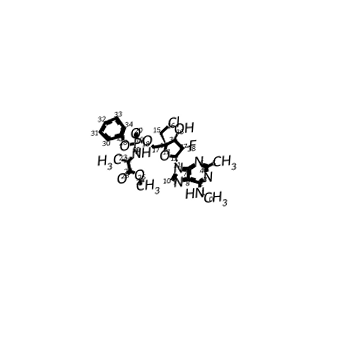 CNc1nc(C)nc2c1ncn2[C@@H]1O[C@](CCl)(CO[P@](=O)(N[C@H](C)C(=O)OC)Oc2ccccc2)[C@@H](O)[C@@H]1F